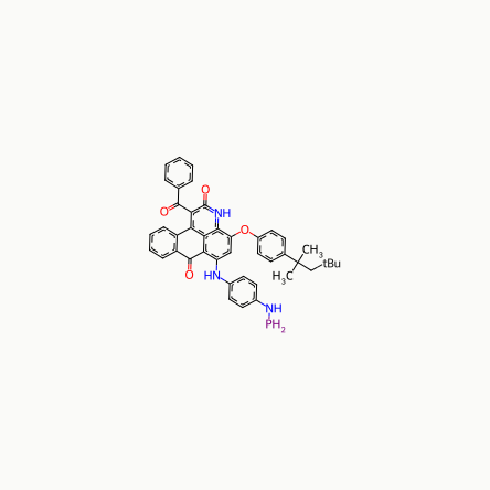 CC(C)(C)CC(C)(C)c1ccc(Oc2cc(Nc3ccc(NP)cc3)c3c4c(c(C(=O)c5ccccc5)c(=O)[nH]c24)-c2ccccc2C3=O)cc1